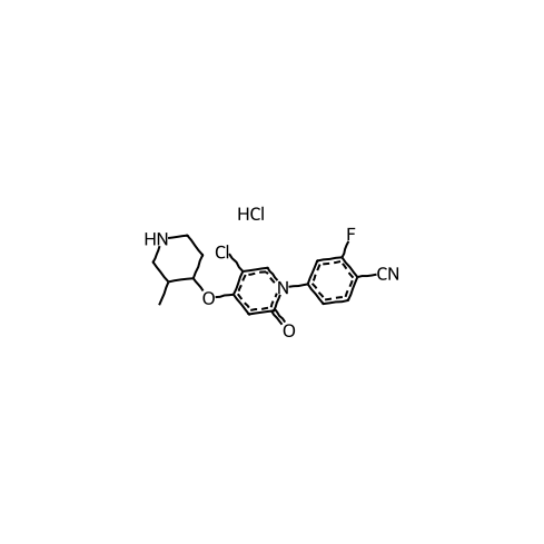 CC1CNCCC1Oc1cc(=O)n(-c2ccc(C#N)c(F)c2)cc1Cl.Cl